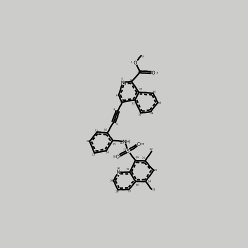 COC(=O)c1ncc(C#Cc2ccccc2NS(=O)(=O)c2c(C)cc(C)c3cccnc23)c2ccccc12